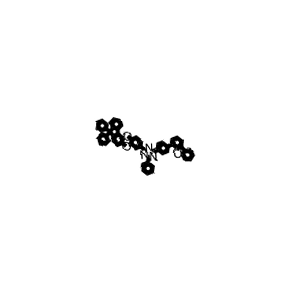 c1ccc(-c2nc(-c3ccc(-c4cccc5c4oc4ccccc45)cc3)nc(-c3ccc4c(c3)Oc3ccc5c(c3O4)-c3ccccc3C5(c3ccccc3)c3ccccc3)n2)cc1